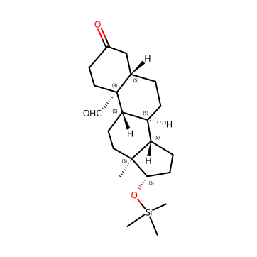 C[C@]12CC[C@H]3[C@@H](CC[C@H]4CC(=O)CC[C@@]43C=O)[C@@H]1CC[C@@H]2O[Si](C)(C)C